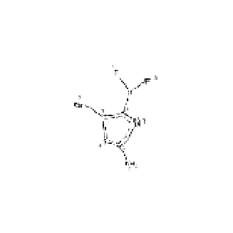 Nc1nc(C(F)F)c(Br)s1